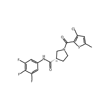 Cc1cc(Cl)c(C(=O)N2CC[C@H](C(=O)Nc3cc(F)c(F)c(F)c3)C2)s1